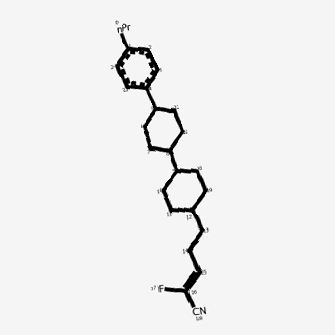 CCCc1ccc(C2CCC(C3CCC(CCC=C(F)C#N)CC3)CC2)cc1